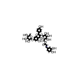 CC1O[C@@H](Oc2cc(O)c3c(=O)c(O[C@@H]4OC(COC(=O)/C=C/c5ccc(O)c(O)c5)[C@@H](O)C(O)[C@@H]4O)c(-c4ccc(O)cc4)oc3c2)[C@@H](O)C(O)[C@H]1O